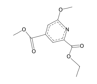 CCOC(=O)c1cc(C(=O)OC)cc(OC)n1